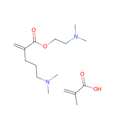 C=C(C)C(=O)O.C=C(CCCN(C)C)C(=O)OCCN(C)C